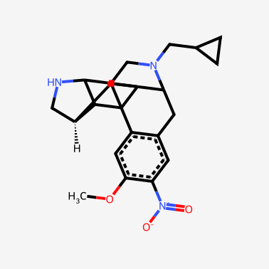 COc1cc2c(cc1[N+](=O)[O-])CC1N(CC3CC3)CCC23C2C4CCC13C[C@@H]2CN4